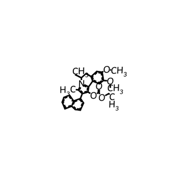 CCOC(=O)Oc1c(-c2cccc3ccccc23)c(C)n2c1-c1cc(OC)c(OC)cc1CC2CC